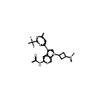 CC(=O)Nc1cc2c(-c3cc(C)nc(C(C)(F)F)n3)cn(C3CC(N(C)C)C3)c2cn1